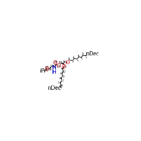 CCCCCCCCCCCCCCCCCCOCC(COC(=O)NCCOC(C)C)OCCCCCCCCCCCCCCCCCC